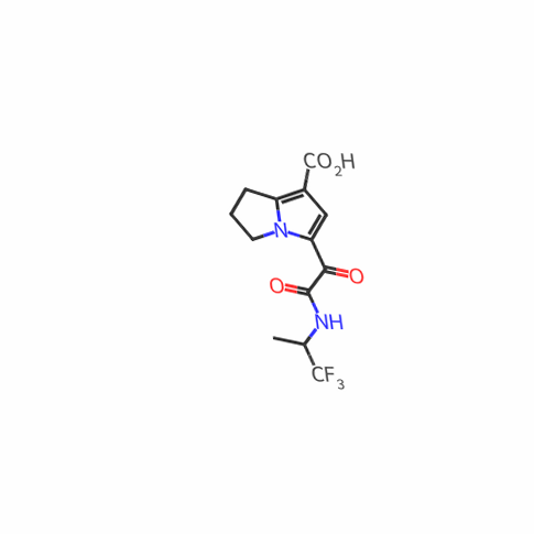 CC(NC(=O)C(=O)c1cc(C(=O)O)c2n1CCC2)C(F)(F)F